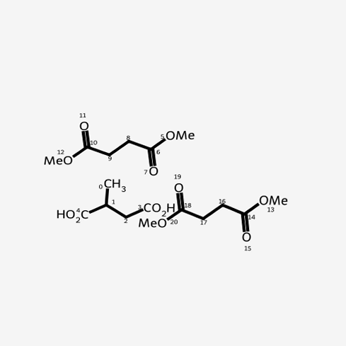 CC(CC(=O)O)C(=O)O.COC(=O)CCC(=O)OC.COC(=O)CCC(=O)OC